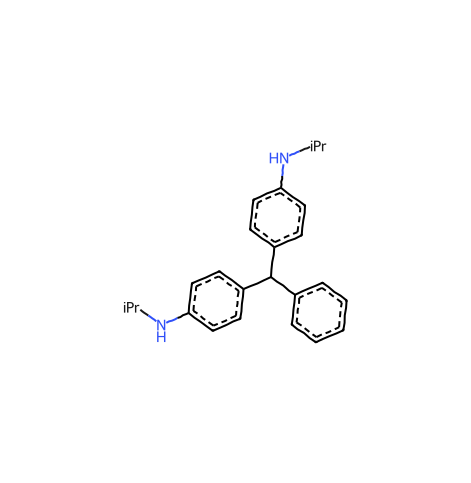 CC(C)Nc1ccc(C(c2ccccc2)c2ccc(NC(C)C)cc2)cc1